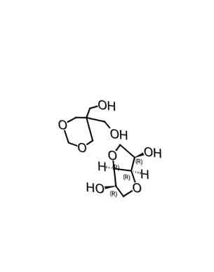 OCC1(CO)COCOC1.O[C@@H]1CO[C@H]2[C@@H]1OC[C@H]2O